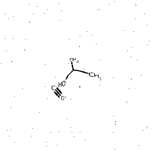 CC(C)O.[C-]#[O+]